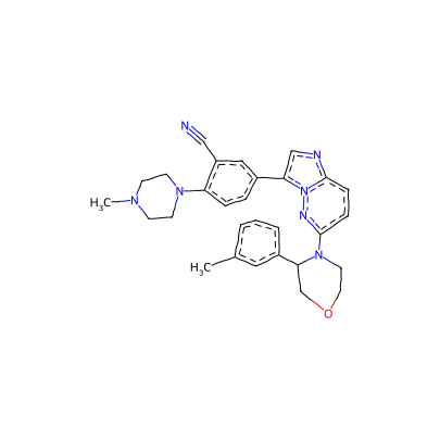 Cc1cccc(C2COCCN2c2ccc3ncc(-c4ccc(N5CCN(C)CC5)c(C#N)c4)n3n2)c1